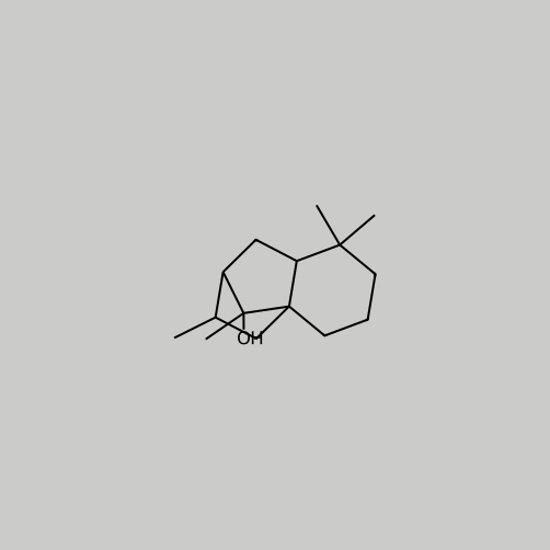 CC1CC23CCCC(C)(C)C2CC1C3(C)O